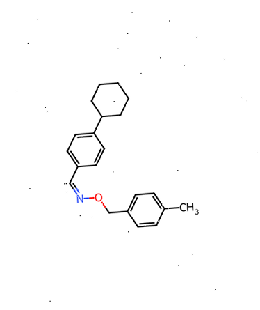 Cc1ccc(CO/N=[C]\c2ccc(C3CCCCC3)cc2)cc1